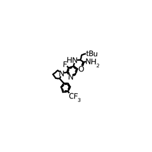 CC(C)(C)CC(Nc1ccnc(N2CCCC2c2ccc(C(F)(F)F)cc2)c1F)C(N)=O